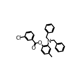 Cc1ccc(OC(=O)c2cccc(Cl)c2)c(N(Cc2ccccc2)Cc2ccccc2)c1